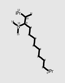 CC(C)CCCCCCCCC(C(C)C(C)C)N(C)C